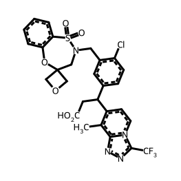 Cc1c(C(CC(=O)O)c2ccc(Cl)c(CN3CC4(COC4)Oc4ccccc4S3(=O)=O)c2)ccn2c(C(F)(F)F)nnc12